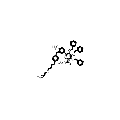 C=CCOCCCCc1ccc(Cc2cc([C@@H]3O[C@H](C(=O)OC)[C@@H](OCc4ccccc4)[C@H](OCc4ccccc4)[C@H]3OCc3ccccc3)ccc2C)cc1